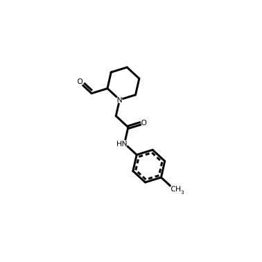 Cc1ccc(NC(=O)CN2CCCCC2C=O)cc1